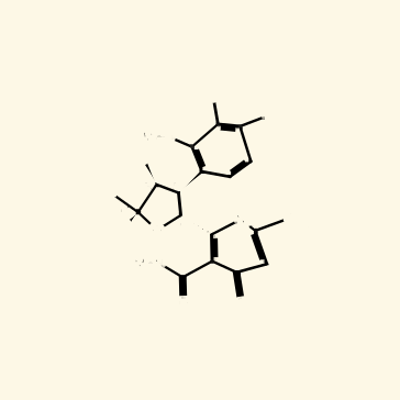 CNC(=O)c1c([C@@H]2O[C@@](C)(C(F)(F)F)[C@@H](C)[C@H]2c2ccc(F)c(F)c2OC)[nH]c(C)cc1=O